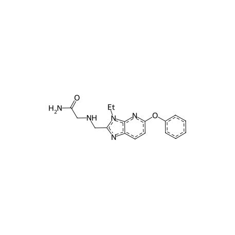 CCn1c(CNCC(N)=O)nc2ccc(Oc3ccccc3)nc21